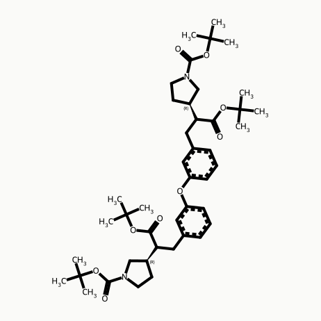 CC(C)(C)OC(=O)C(Cc1cccc(Oc2cccc(CC(C(=O)OC(C)(C)C)[C@H]3CCN(C(=O)OC(C)(C)C)C3)c2)c1)[C@H]1CCN(C(=O)OC(C)(C)C)C1